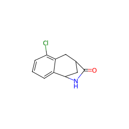 O=C1NC2CC1Cc1c(Cl)cccc12